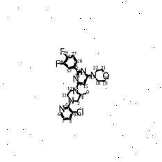 C[C@H]1CN(c2ncccc2Cl)CCN1c1cc(N2CCOCC2)nc(-c2ccc(F)c(F)c2)n1